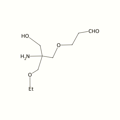 CCOCC(N)(CO)COCCC=O